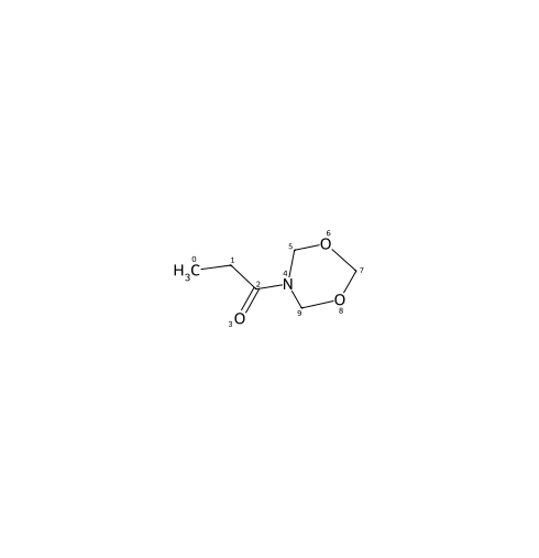 CCC(=O)N1COCOC1